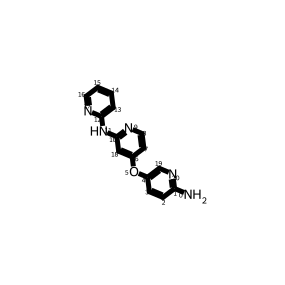 Nc1ccc(Oc2ccnc(Nc3ccccn3)c2)cn1